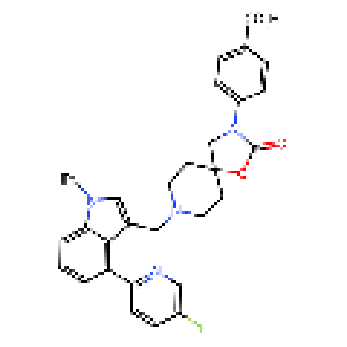 CC(C)n1cc(CN2CCC3(CC2)CN(c2ccc(C(=O)O)cc2)C(=O)O3)c2c(-c3ccc(F)cn3)cccc21